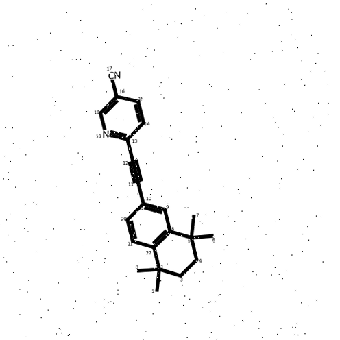 CC1(C)CCC(C)(C)c2cc(C#Cc3ccc(C#N)cn3)ccc21